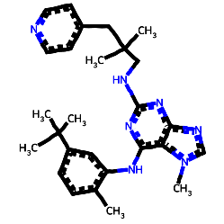 Cc1ccc(C(C)(C)C)cc1Nc1nc(NCC(C)(C)Cc2ccncc2)nc2ncn(C)c12